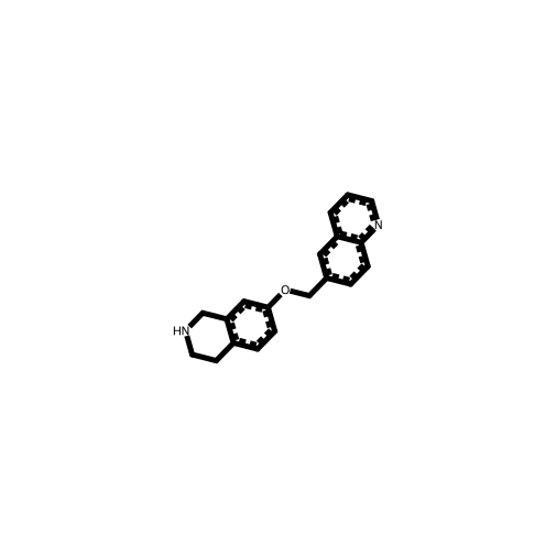 c1cnc2ccc(COc3ccc4c(c3)CNCC4)cc2c1